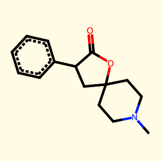 CN1CCC2(CC1)CC(c1ccccc1)C(=O)O2